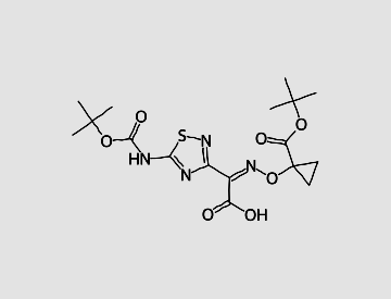 CC(C)(C)OC(=O)Nc1nc(/C(=N/OC2(C(=O)OC(C)(C)C)CC2)C(=O)O)ns1